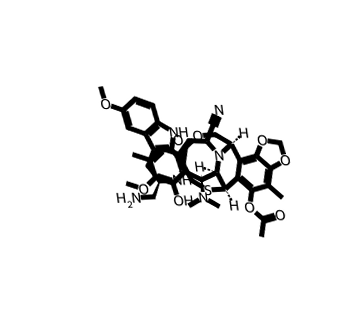 COc1ccc2[nH]c3c(c2c1)C[C@H](CN)N[C@]31CS[C@@H]2c3c(OC(C)=O)c(C)c4c(c3[C@H](COC1=O)N1C(C#N)Cc3cc(C)c(OC)c(O)c3[C@H](N(C)C)[C@H]21)OCO4